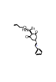 C=CCONC(CC)=C1C(=O)CC(/C=C/c2ccccc2)CC1=O